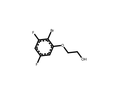 OCCOc1cc(F)cc(F)c1Br